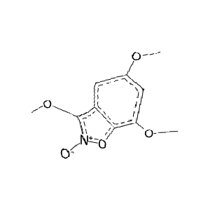 COc1cc(OC)c2o[n+]([O-])c(OC)c2c1